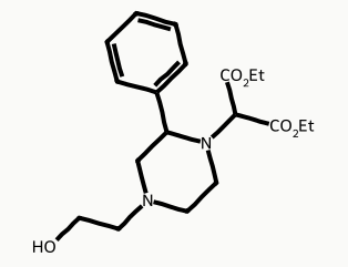 CCOC(=O)C(C(=O)OCC)N1CCN(CCO)CC1c1ccccc1